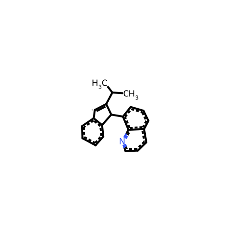 CC(C)C1=[C]c2ccccc2C1c1cccc2cccnc12